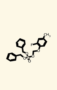 Cc1ccc(OCOP(=O)(OCc2ccccc2)OCc2ccccc2)c(F)c1